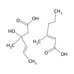 CC=CC(C)(O)CC(=O)O.CCCC(C)=CC(=O)O